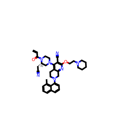 C=CC(=O)N1CCN(c2c(C#N)c(OCCN3CCCCC3)nc3c2CCN(c2cccc4cccc(C)c24)C3)C[C@@H]1CC#N